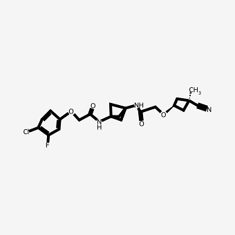 C[C@]1(C#N)C[C@@H](OCC(=O)NC23CC(NC(=O)COc4ccc(Cl)c(F)c4)(C2)C3)C1